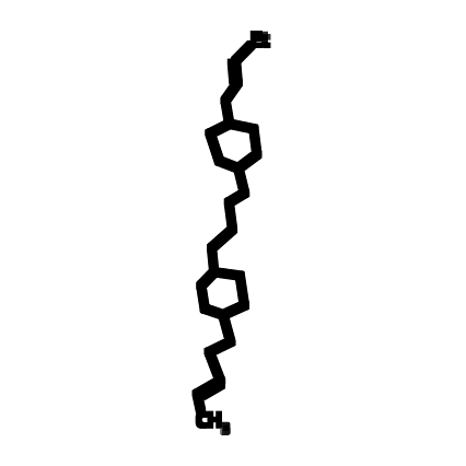 CC=CCCC1CCC(CCCCC2CCC(CC=CCC)CC2)CC1